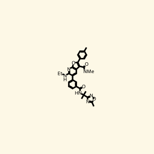 CCNc1nc2oc(-c3ccc(C)cc3)c(C(=O)NC)c2cc1-c1cccc(C(=O)NC(C)(C)c2noc(C)n2)c1